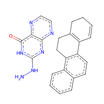 C1=CC2=C(CC1)CCc1c2ccc2ccccc12.NNc1nc2nccnc2c(=O)[nH]1